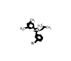 CC(C)=Cn1nc(-c2cc(C)cc(C)c2)nc1-c1cccc(Br)c1